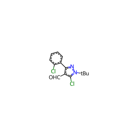 CC(C)(C)n1nc(-c2ccccc2Cl)c(C=O)c1Cl